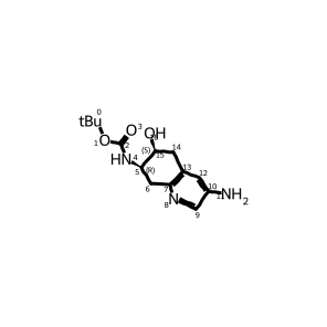 CC(C)(C)OC(=O)N[C@@H]1Cc2ncc(N)cc2C[C@@H]1O